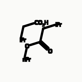 CC(C)CC(=O)O.CCCOC(=O)CC(C)C